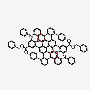 O=C(OCc1ccccc1)c1cc2c3c(c1)N(c1ccccc1)c1ccccc1B3c1cc3c(-c4c(-c5ccccc5)cccc4-c4ccccc4)cc4c5c(cc6c(-c7c(-c8ccccc8)cccc7-c7ccccc7)cc-2c1c6c35)B1c2ccccc2N(c2ccccc2)c2cc(C(=O)OCc3ccccc3)cc-4c21